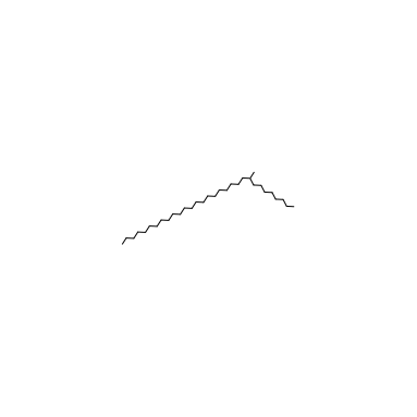 CCCCCCCCCCCCCCCCCCCCCCC(C)CCCCCCCC